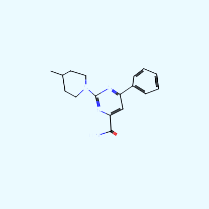 CC1CCN(c2nc(C(N)=O)cc(-c3ccccc3)n2)CC1